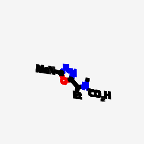 CCC(c1nnc(NC)o1)N(C)C(=O)O